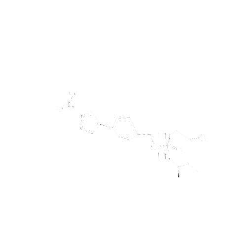 CC[C@@H](C)NP(=O)(N[C@H](C)CCl)OCc1ccc(-c2ccc([N+](=O)[O-])s2)cc1